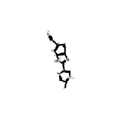 Cc1cnc(-c2nc3ccc(C#N)cc3[nH]2)cn1